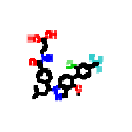 COc1c(-c2ccc(C(F)(F)F)cc2Cl)ccc2c1cnn2[C@@H](CC(C)C)c1ccc(C(=O)NCCC(O)O)cc1